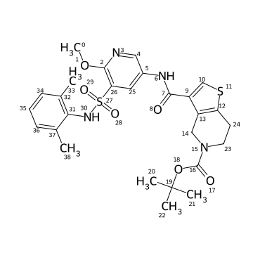 COc1ncc(NC(=O)c2csc3c2CN(C(=O)OC(C)(C)C)CC3)cc1S(=O)(=O)Nc1c(C)cccc1C